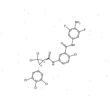 Nc1c(F)cc(NC(=O)c2cc(NC(=O)[C@H]3[C@H](c4cc(Cl)c(Cl)c(Cl)c4)C3(Cl)Cl)ccc2Cl)cc1F